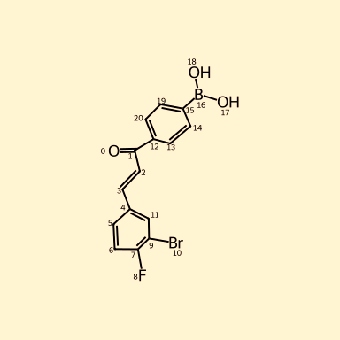 O=C(/C=C/c1ccc(F)c(Br)c1)c1ccc(B(O)O)cc1